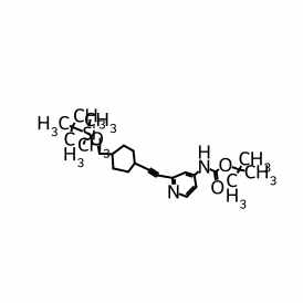 CC(C)(C)OC(=O)Nc1ccnc(C#CC2CCC(CO[Si](C)(C)C(C)(C)C)CC2)c1